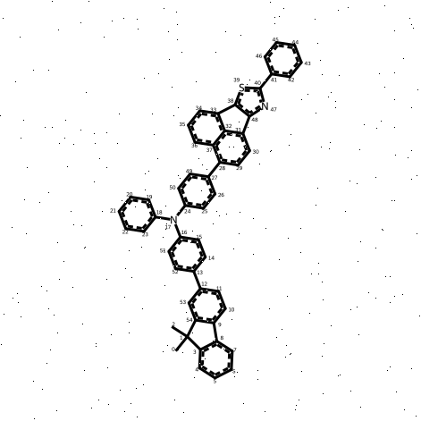 CC1(C)c2ccccc2-c2ccc(-c3ccc(N(c4ccccc4)c4ccc(-c5ccc6c7c(cccc57)-c5sc(-c7ccccc7)nc5-6)cc4)cc3)cc21